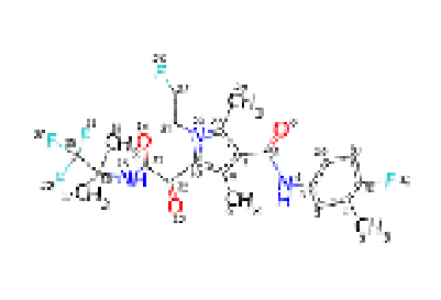 Cc1cc(NC(=O)c2c(C)c(C(=O)C(=O)NC(C)(C)C(F)(F)F)n(CCF)c2C)ccc1F